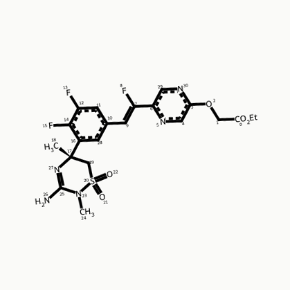 CCOC(=O)COc1cnc(/C(F)=C/c2cc(F)c(F)c([C@]3(C)CS(=O)(=O)N(C)C(N)=N3)c2)cn1